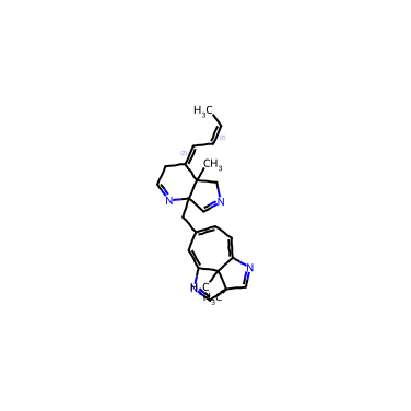 C/C=C\C=C1\CC=NC2(CC3=CC=C4N=CC5(C)C=NC(=C3)C45C)C=NCC12C